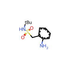 CC(C)(C)NS(=O)(=O)Cc1ccccc1N